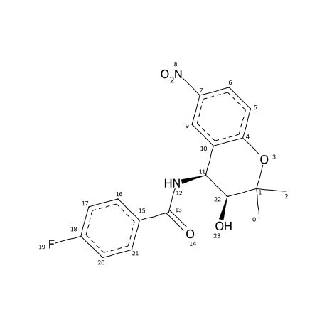 CC1(C)Oc2ccc([N+](=O)[O-])cc2[C@H](NC(=O)c2ccc(F)cc2)[C@@H]1O